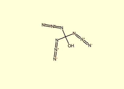 [N-]=[N+]=NC(O)(N=[N+]=[N-])N=[N+]=[N-]